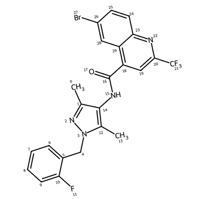 Cc1nn(Cc2ccccc2F)c(C)c1NC(=O)c1cc(C(F)(F)F)nc2ccc(Br)cc12